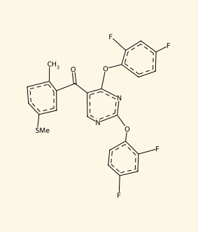 CSc1ccc(C)c(C(=O)c2cnc(Oc3ccc(F)cc3F)nc2Oc2ccc(F)cc2F)c1